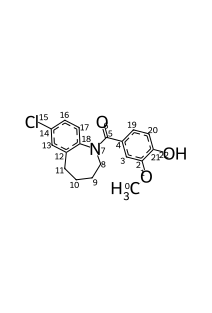 COc1cc(C(=O)N2CCCCc3cc(Cl)ccc32)ccc1O